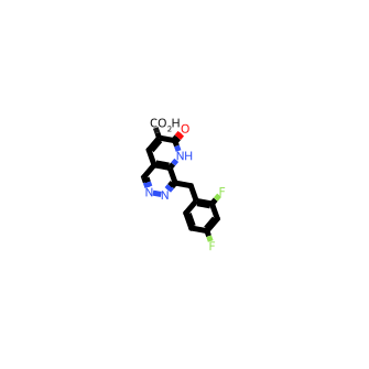 O=C(O)c1cc2cnnc(Cc3ccc(F)cc3F)c2[nH]c1=O